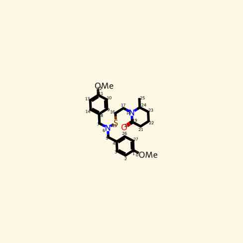 COc1ccc(CN(Cc2ccc(OC)cc2)SCCN2C(=O)CCCC2C)cc1